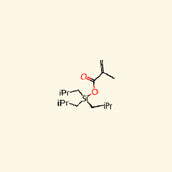 C=C(C)C(=O)O[Si](CC(C)C)(CC(C)C)CC(C)C